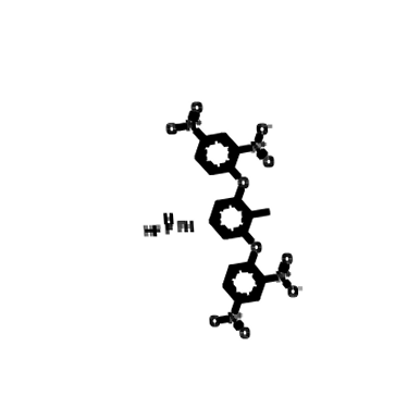 Cc1c(Oc2ccc([N+](=O)[O-])cc2[N+](=O)[O-])cccc1Oc1ccc([N+](=O)[O-])cc1[N+](=O)[O-].F.F.F